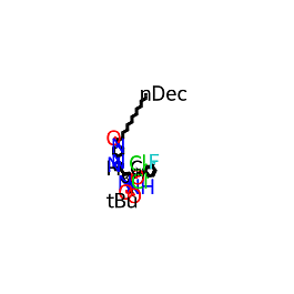 CCCCCCCCCCCCCCCCCCCCCC(=O)N1CCC(n2cc(-c3cnc(NC(=O)OC(C)(C)C)c(O[C@H](C)c4c(Cl)ccc(F)c4Cl)c3)cn2)CC1